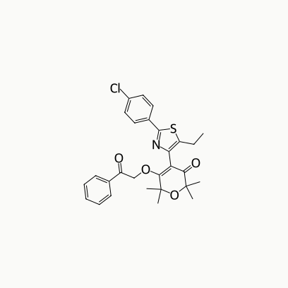 CCc1sc(-c2ccc(Cl)cc2)nc1C1=C(OCC(=O)c2ccccc2)C(C)(C)OC(C)(C)C1=O